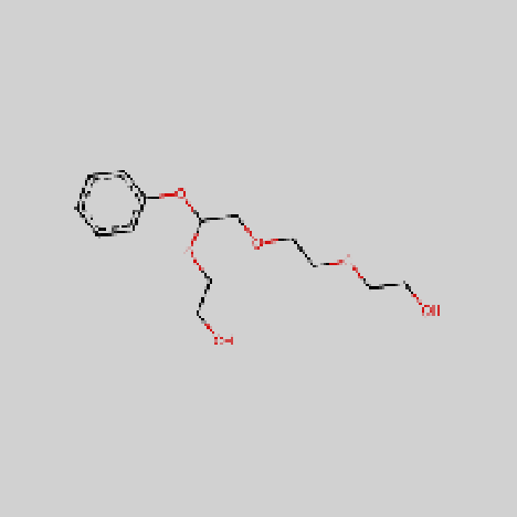 OCCOCCOCC(OCCO)Oc1ccccc1